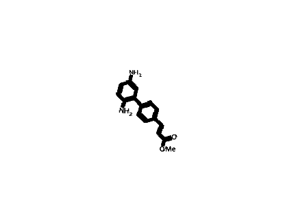 COC(=O)C=Cc1ccc(-c2cc(N)ccc2N)cc1